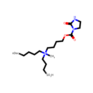 CCCCCCCCCCCCCC[N+](C)(CCCCOC(=O)N1CCNC1=O)CCCS(=O)(=O)O